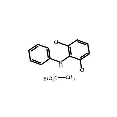 CCOC(C)=O.Clc1cccc(Cl)c1Nc1ccccc1